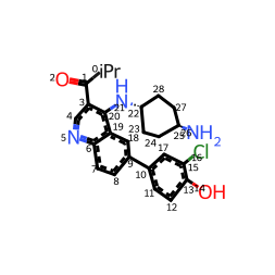 CC(C)C(=O)c1cnc2ccc(-c3ccc(O)c(Cl)c3)cc2c1N[C@H]1CC[C@H](N)CC1